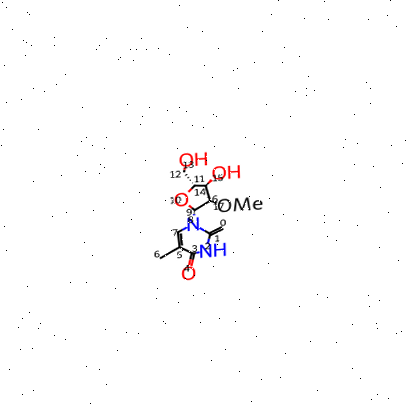 C=C1NC(=O)C(C)=CN1[C@@H]1O[C@H](CO)[C@@H](O)[C@H]1OC